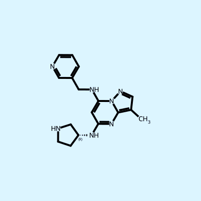 Cc1cnn2c(NCc3cccnc3)cc(N[C@@H]3CCNC3)nc12